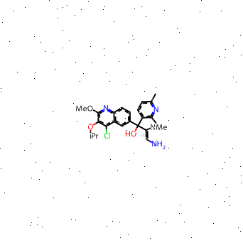 CN/C(=C\N)C(O)(c1ccc2nc(OC)c(OC(C)C)c(Cl)c2c1)c1ccc(C)nc1C